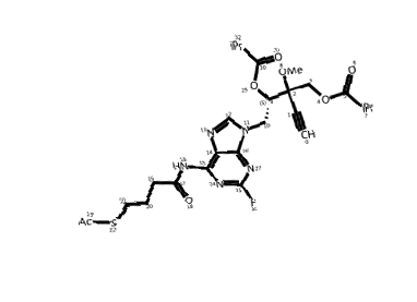 C#CC(COC(=O)C(C)C)(OC)[C@H](Cn1cnc2c(NC(=O)CCCSC(C)=O)nc(F)nc21)OC(=O)C(C)C